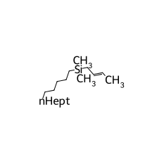 CC=CC[Si](C)(C)CCCCCCCCCCCC